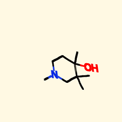 CN1CCC(C)(O)C(C)(C)C1